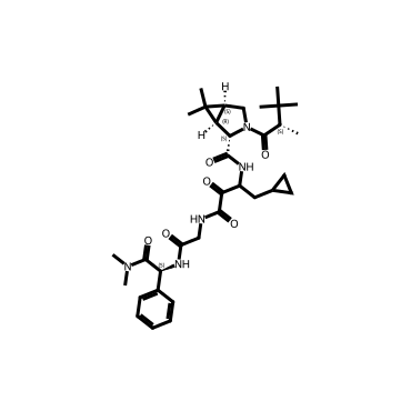 C[C@H](C(=O)N1C[C@H]2[C@@H]([C@H]1C(=O)NC(CC1CC1)C(=O)C(=O)NCC(=O)N[C@H](C(=O)N(C)C)c1ccccc1)C2(C)C)C(C)(C)C